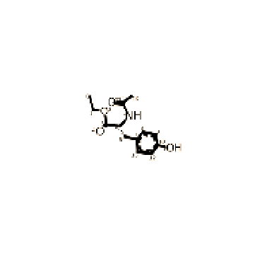 CCOC(=O)[C@@H](Cc1ccc(O)cc1)NC(C)=O